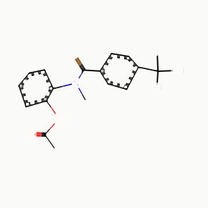 CC(=O)Oc1ccccc1N(C)C(=S)c1ccc(C(C)(C)C)cc1